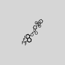 O=C(COc1ccnc2c(C(F)(F)F)cccc12)N1CCC(S(=O)(=O)N2CCCC2)C1